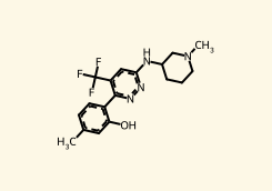 Cc1ccc(-c2nnc(NC3CCCN(C)C3)cc2C(F)(F)F)c(O)c1